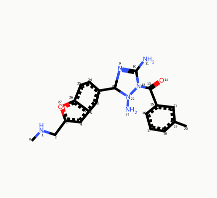 CNCc1cc2cc(C3N=C(N)N(C(=O)c4cccc(C)c4)N3N)ccc2o1